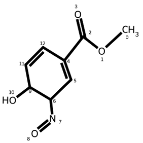 COC(=O)C1=CC(N=O)C(O)C=C1